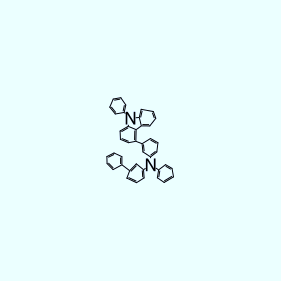 c1ccc(-c2cccc(N(c3ccccc3)c3cccc(-c4cccc5c4c4ccccc4n5-c4ccccc4)c3)c2)cc1